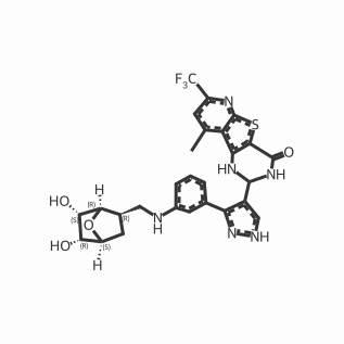 Cc1cc(C(F)(F)F)nc2sc3c(c12)NC(c1c[nH]nc1-c1cccc(NC[C@H]2C[C@@H]4O[C@H]2[C@@H](O)[C@H]4O)c1)NC3=O